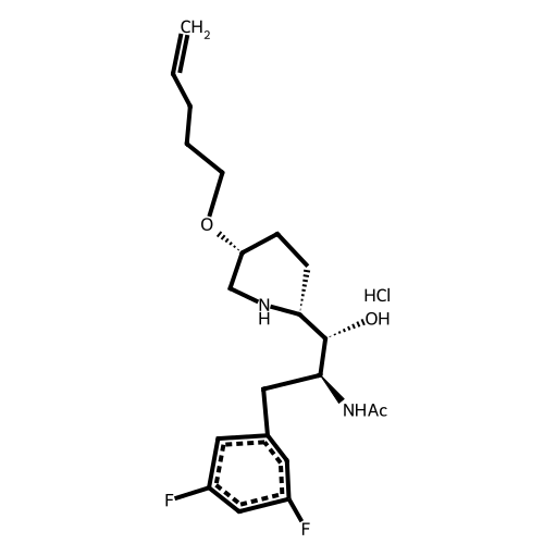 C=CCCCO[C@@H]1CC[C@H]([C@H](O)[C@H](Cc2cc(F)cc(F)c2)NC(C)=O)NC1.Cl